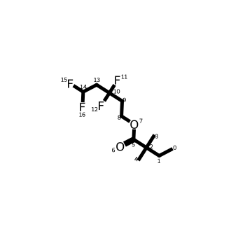 CCC(C)(C)C(=O)OCCC(F)(F)CC(F)F